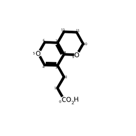 O=C(O)CCC1=COCC2=C1OCCC2